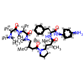 CC[C@H](C)[C@@H]([C@@H](CC(=O)N1CCC[C@H]1[C@H](OC)[C@@H](C)C(=O)N[C@@H](Cc1ccccc1)C(=O)Nc1ccc(N)cc1)OC)N(C)C(=O)[C@H](C(C)C)N(C)C(=O)[C@H](C(C)C)N(C)C(C)C